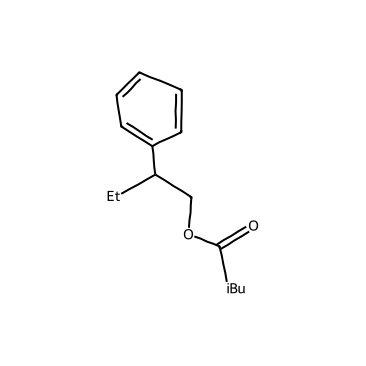 CCC(C)C(=O)OCC(CC)c1ccccc1